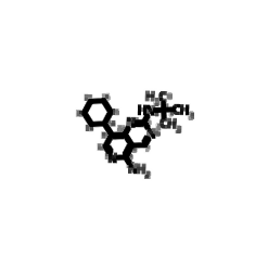 CC(C)(C)Nc1ncc2c(N)ncc(C3CCCCC3)c2n1